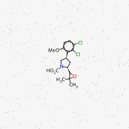 COc1ccc(Cl)c(Cl)c1[C@H]1C[C@@H](C2OC2(C)C)N(C(=O)O)C1